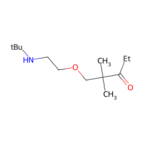 CCC(=O)C(C)(C)COCCNC(C)(C)C